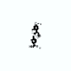 CCOC(C(=O)NCc1ccc(C(=N)N)cc1Cl)c1ccc(OC)cc1F.Cl